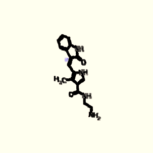 Cc1c(C(=O)NCCN)c[nH]c1/C=C1\C(=O)Nc2ccccc21